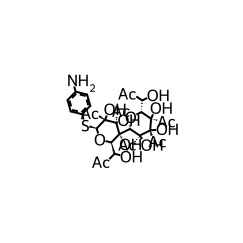 CC(=O)C(O)[C@H]1O[C@@H](Sc2ccc(N)cc2)[C@@](O)(C(C)=O)[C@](O)(C(C)=O)[C@@]1(O)[C@@H]1O[C@H](C(O)C(C)=O)[C@](O)(C(C)=O)[C@@](O)(C(C)=O)[C@]1(O)C(C)=O